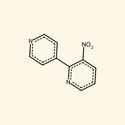 O=[N+]([O-])c1cccnc1-c1ccncc1